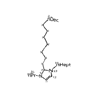 CCCCCCCCCCCCCCCCCC1N(CCC)C=CN1CCCCCCC